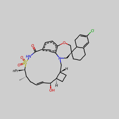 CCC[C@@H]1[C@@H](C)C/C=C/[C@H](O)[C@@H]2CC[C@H]2CN2C[C@@]3(CCCC4=CC(Cl)=CCC43)COc3ccc(cc32)C(=O)NS1(=O)=O